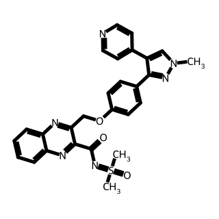 Cn1cc(-c2ccncc2)c(-c2ccc(OCc3nc4ccccc4nc3C(=O)N=S(C)(C)=O)cc2)n1